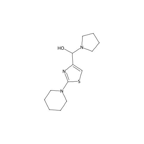 OC(c1csc(N2CCCCC2)n1)N1CCCC1